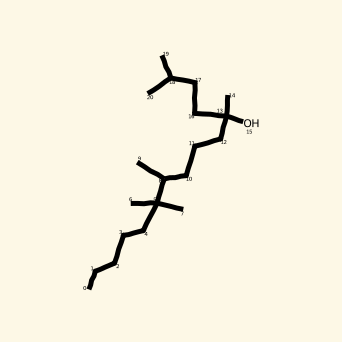 CCCCCC(C)(C)C(C)CCCC(C)(O)CCC(C)C